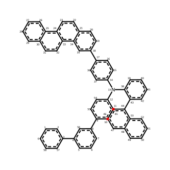 c1ccc(-c2cccc(-c3ccc(N(c4ccc(-c5ccc6ccc7c8ccccc8ccc7c6c5)cc4)c4ccccc4-c4cccc5ccccc45)cc3)c2)cc1